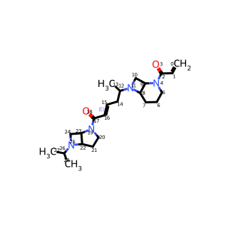 C=CC(=O)N1CCCC2C1CN2C(C)C/C=C/C(=O)N1CCC2C1CN2C(C)C